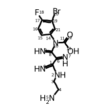 N=C(NCCN)C(=N)C(=N)N(C(=O)O)c1ccc(F)c(Br)c1